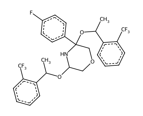 CC(OC1COCC(OC(C)c2ccccc2C(F)(F)F)(c2ccc(F)cc2)N1)c1ccccc1C(F)(F)F